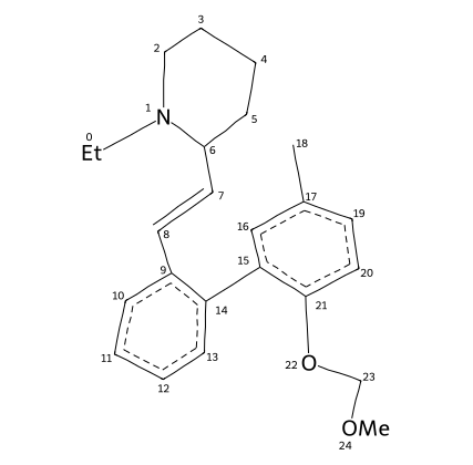 CCN1CCCCC1C=Cc1ccccc1-c1cc(C)ccc1OCOC